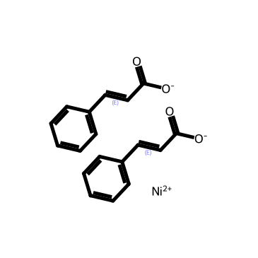 O=C([O-])/C=C/c1ccccc1.O=C([O-])/C=C/c1ccccc1.[Ni+2]